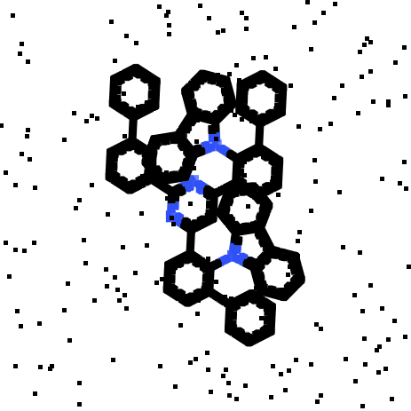 c1ccc(-c2cccc(-c3nc(-c4cccc(-c5ccccc5)c4-n4c5ccccc5c5ccccc54)cc(-c4cccc(-c5ccccc5)c4-n4c5ccccc5c5ccccc54)n3)c2)cc1